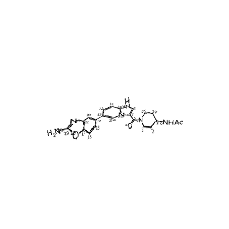 CC(=O)NC1CCN(C(=O)C2=CNC3C=CC(c4ccc5oc(N)nc5c4)=CN23)CC1